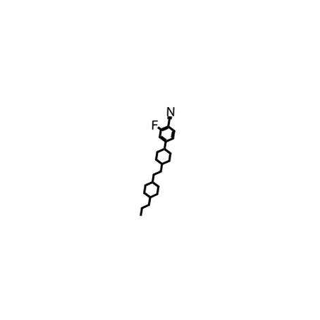 CCCC1CCC(CCC2CCC(c3ccc(C#N)c(F)c3)CC2)CC1